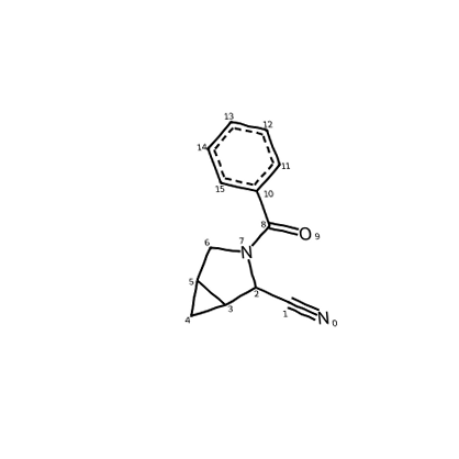 N#CC1C2CC2CN1C(=O)c1ccccc1